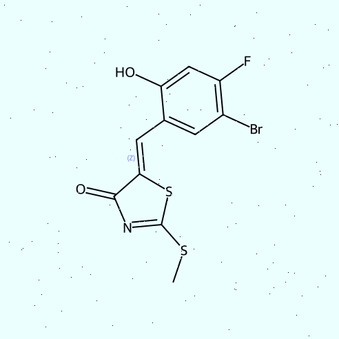 CSC1=NC(=O)/C(=C/c2cc(Br)c(F)cc2O)S1